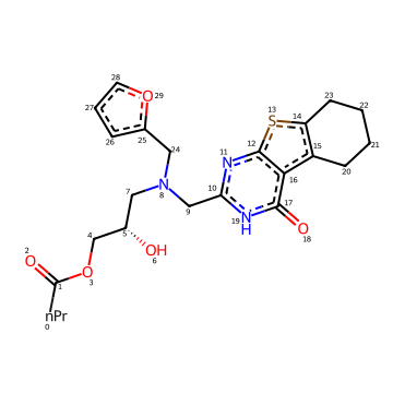 CCCC(=O)OC[C@@H](O)CN(Cc1nc2sc3c(c2c(=O)[nH]1)CCCC3)Cc1ccco1